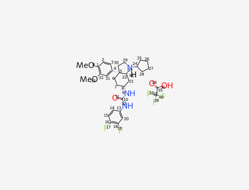 COc1ccc([C@@]23CC[C@@H](NC(=O)Nc4ccc(F)c(F)c4)C[C@@H]2N(C2CCCC2)CC3)cc1OC.O=C(O)C(F)(F)F